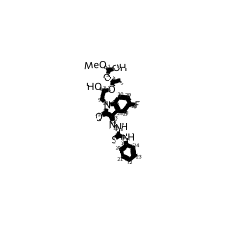 COC(O)OC(C)OC(O)CN1C(=O)/C(=N/NC(=S)Nc2ccccc2)c2cc(F)ccc21